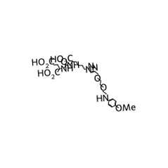 COc1ccc(NCCOCCOCc2cn(CCCC[C@H](NC(=O)NC(CCC(=O)O)C(=O)O)C(=O)O)nn2)cc1